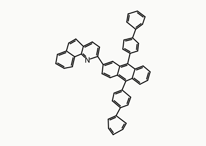 c1ccc(-c2ccc(-c3c4ccccc4c(-c4ccc(-c5ccccc5)cc4)c4cc(-c5ccc6ccc7ccccc7c6n5)ccc34)cc2)cc1